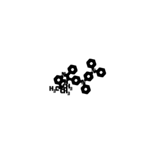 CC(C)(C)c1cccc2nc(-c3ccccc3)c(-c3ccc(N(c4ccccc4)c4ccc(N(c5ccccc5)c5ccccc5)cc4)cc3)nc12